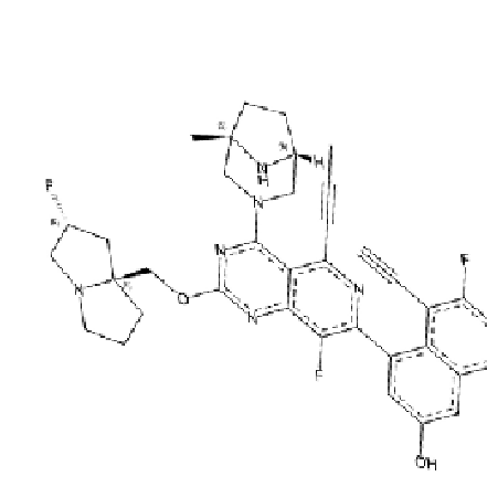 C#Cc1c(F)ccc2cc(O)cc(-c3nc(C#CC)c4c(N5C[C@H]6CC[C@@](C)(C5)N6)nc(OC[C@@]56CCCN5C[C@H](F)C6)nc4c3F)c12